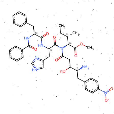 CC[C@H](C)[C@@H](C(=O)OC)N(C(=O)CC(O)[C@@H](N)Cc1ccc([N+](=O)[O-])cc1)C(=O)[C@H](Cc1c[nH]cn1)NC(=O)[C@H](Cc1ccccc1)NC(=O)c1ccccc1